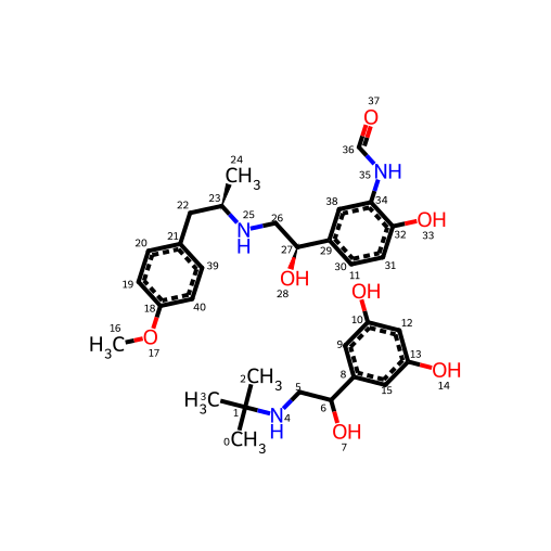 CC(C)(C)NCC(O)c1cc(O)cc(O)c1.COc1ccc(C[C@@H](C)NC[C@H](O)c2ccc(O)c(NC=O)c2)cc1